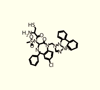 CS(=O)(=O)N(C(=O)C(N)CS)C1N=C(c2ccccc2)c2cc(Cl)ccc2N(CN2C=NNN2c2ccccc2-c2ccccc2)C1=O